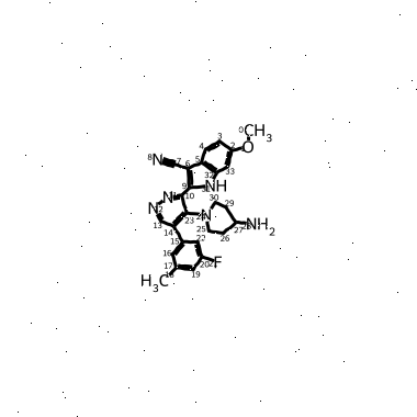 COc1ccc2c(C#N)c(-c3nncc(-c4cc(C)cc(F)c4)c3N3CCC(N)CC3)[nH]c2c1